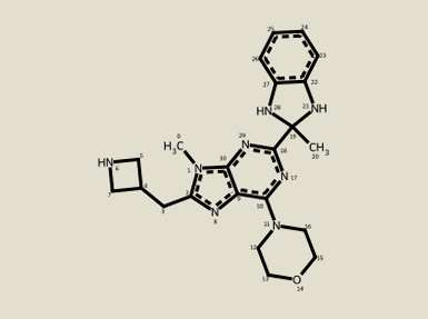 Cn1c(CC2CNC2)nc2c(N3CCOCC3)nc(C3(C)Nc4ccccc4N3)nc21